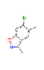 Cc1cc2c(C)noc2cc1Br